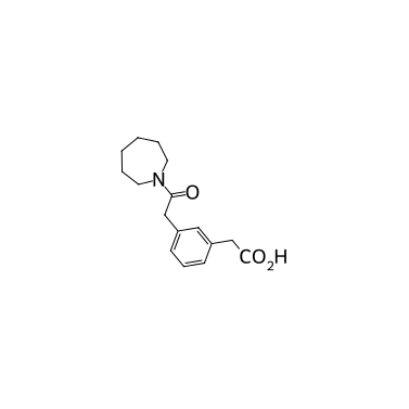 O=C(O)Cc1cccc(CC(=O)N2CCCCCC2)c1